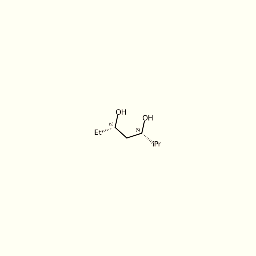 CC[C@H](O)C[C@H](O)C(C)C